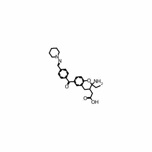 CCC1(N)Oc2ccc(C(=O)c3ccc(C=NN4CCCCC4)cc3)cc2CC1CC(=O)O